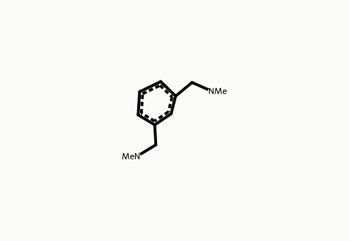 CNCc1cccc(CNC)c1